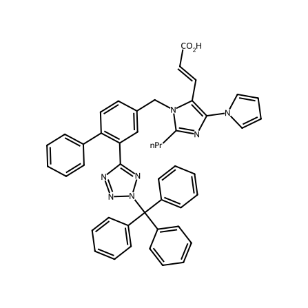 CCCc1nc(-n2cccc2)c(/C=C/C(=O)O)n1Cc1ccc(-c2ccccc2)c(-c2nnn(C(c3ccccc3)(c3ccccc3)c3ccccc3)n2)c1